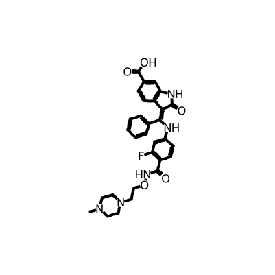 CN1CCN(CCONC(=O)c2ccc(N/C(=C3\C(=O)Nc4cc(C(=O)O)ccc43)c3ccccc3)cc2F)CC1